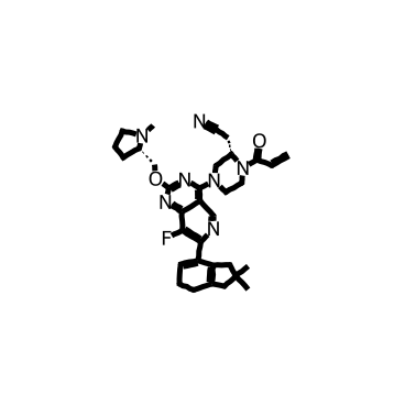 C=CC(=O)N1CCN(c2nc(OC[C@@H]3CCCN3C)nc3c(F)c(C4=CCCC5=C4CC(C)(C)C5)ncc23)C[C@@H]1CC#N